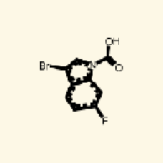 O=C(O)n1cc(Br)c2ccc(F)cc21